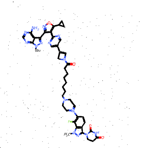 Cn1nc(N2CCC(=O)NC2=O)c2ccc(N3CCN(CCCCCCCC(=O)N4CC(c5cnc(-c6c(-c7nn(C(C)(C)C)c8ncnc(N)c78)noc6C6CC6)nc5)C4)CC3)c(F)c21